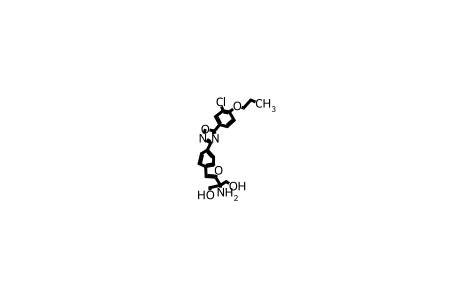 CCCOc1ccc(-c2nc(-c3ccc4cc(C(N)(CO)CO)oc4c3)no2)cc1Cl